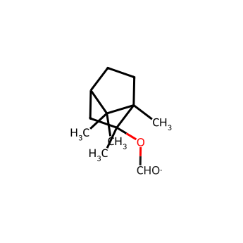 CC1(O[C]=O)CC2CCC1(C)C2(C)C